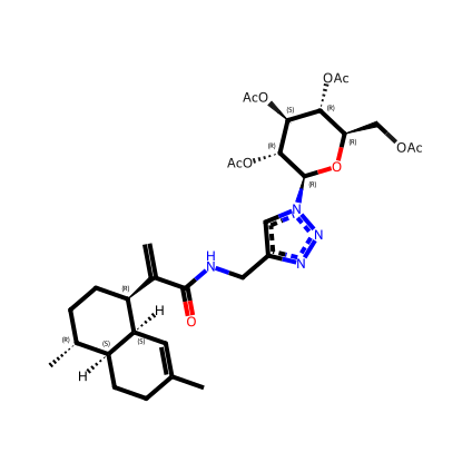 C=C(C(=O)NCc1cn([C@@H]2O[C@H](COC(C)=O)[C@@H](OC(C)=O)[C@H](OC(C)=O)[C@H]2OC(C)=O)nn1)[C@@H]1CC[C@@H](C)[C@@H]2CCC(C)=C[C@@H]21